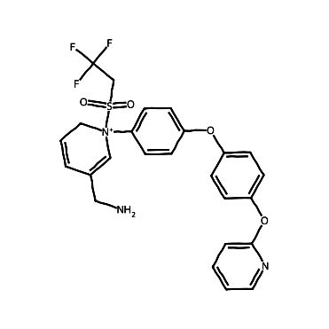 NCC1=C[N+](c2ccc(Oc3ccc(Oc4ccccn4)cc3)cc2)(S(=O)(=O)CC(F)(F)F)CC=C1